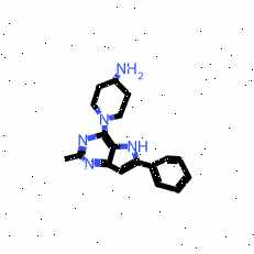 Cc1nc(N2CCC(N)CC2)c2[nH]c(-c3ccccc3)cc2n1